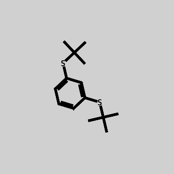 CC(C)(C)Sc1[c]ccc(SC(C)(C)C)c1